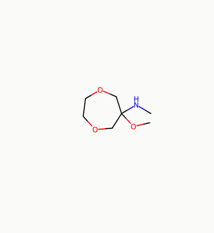 CNC1(OC)COCCOC1